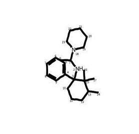 CC(NC1(c2ccccc2)CCCC(C)C1(C)C)N1CCCCC1